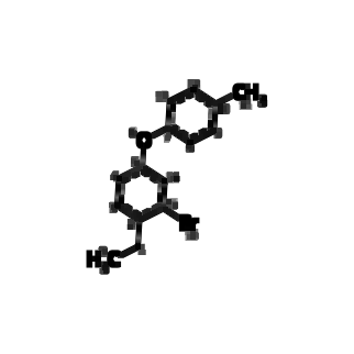 CCc1ccc(Oc2ccc(C)cc2)cc1Br